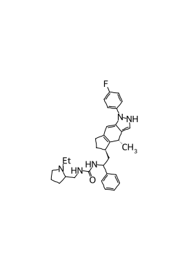 CCN1CCCC1CNC(=O)NC(C[C@H]1CCC2=C1[C@@H](C)C1=CNN(c3ccc(F)cc3)C1=C2)c1ccccc1